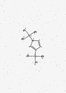 CC(C)[Si](c1ccn([Si](C(C)C)(C(C)C)C(C)C)c1)(C(C)C)C(C)C